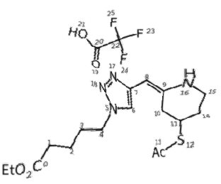 CCOC(=O)CCCCn1cc(/C=C2\CC(SC(C)=O)CCN2)nn1.O=C(O)C(F)(F)F